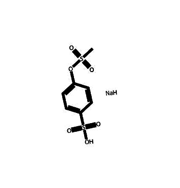 CS(=O)(=O)Oc1ccc(S(=O)(=O)O)cc1.[NaH]